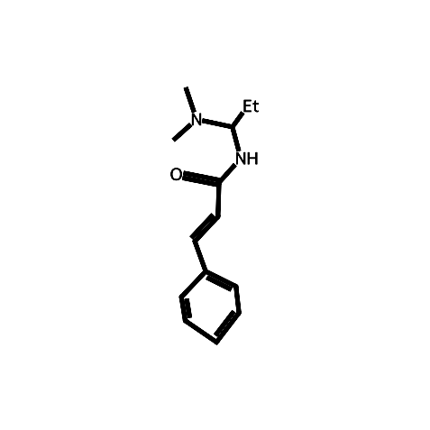 CCC(NC(=O)C=Cc1ccccc1)N(C)C